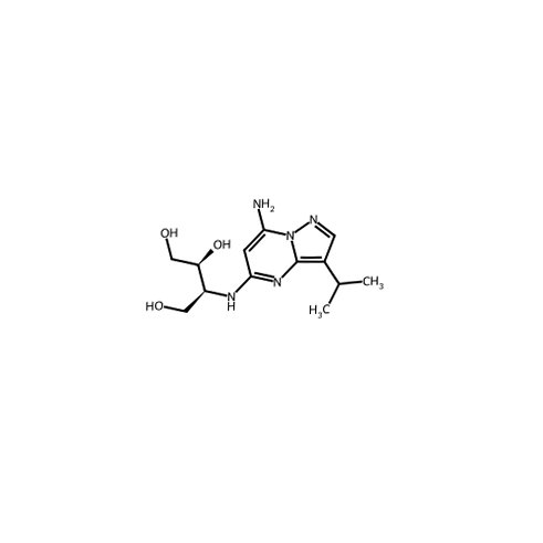 CC(C)c1cnn2c(N)cc(N[C@@H](CO)[C@H](O)CO)nc12